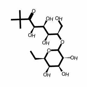 CC[C@H]1OC(O[C@H](CO)[C@@H](O)[C@H](O)[C@@H](O)C(=O)C(C)(C)C)[C@H](O)[C@@H](O)[C@H]1O